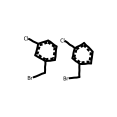 Clc1cccc(CBr)c1.Clc1cccc(CBr)c1